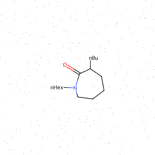 CCCCCCN1CCCCC(CCCC)C1=O